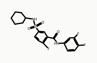 O=C(Nc1ccc(F)c(F)c1)c1cc(S(=O)(=O)NC2CCCCC2)ccc1F